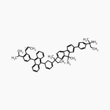 C/C=C\c1cc(-c2c3ccccc3c(C3C=CC=C(C(C)(CC)c4ccc5c(c4)C(C)(C)c4cc(-c6ccc(C(C)(N)CC)cc6)ccc4-5)C3)c3ccccc23)ccc1C(C)C